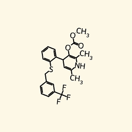 COC(=O)OC1=C(C)NC(C)=CC1c1ccccc1SCc1cccc(C(F)(F)F)c1